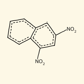 O=[N+]([O-])c1[c]c2ccccc2c([N+](=O)[O-])c1